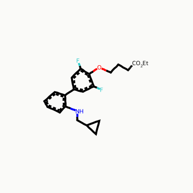 CCOC(=O)CCCOc1c(F)cc(-c2ccccc2NCC2CC2)cc1F